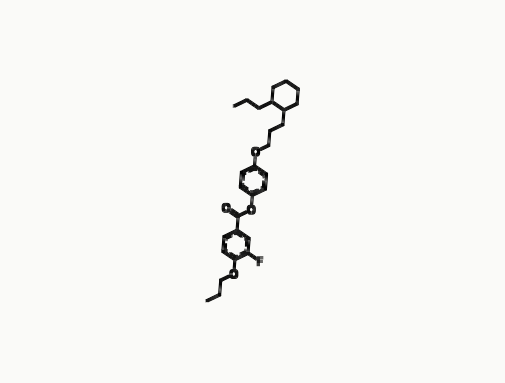 CCCOc1ccc(C(=O)Oc2ccc(OCCCC3CCCCC3CCC)cc2)cc1F